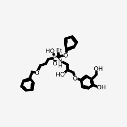 CCC(NCC(O)COc1ccc(O)c(CO)c1)(Oc1ccccc1)P(=O)(O)CCCOCc1ccccc1